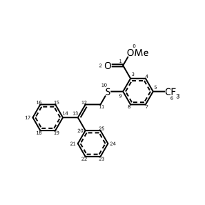 COC(=O)c1cc(C(F)(F)F)ccc1SCC=C(c1ccccc1)c1ccccc1